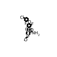 COCCN1CCN(S(=O)(=O)c2cc(F)c(Oc3ccc(Cl)cc3)c(F)c2)[C@@H](C(N)=O)C1